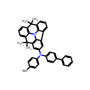 CC(C)(C)c1ccc(N(c2ccc(-c3ccccc3)cc2)c2cc3c4c(c2)c2cccc5c2n4-c2c(cccc2C3(C)C)C5(C)C)cc1